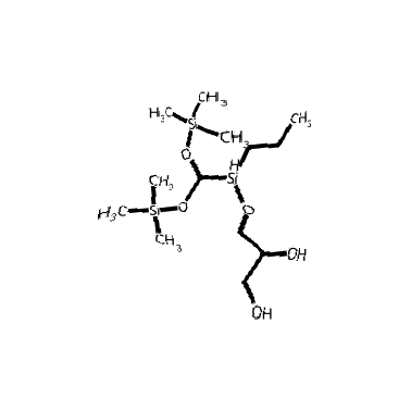 CCC[SiH](OCC(O)CO)C(O[Si](C)(C)C)O[Si](C)(C)C